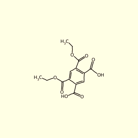 CCOC(=O)c1cc(C(=O)OCC)c(C(=O)O)cc1C(=O)O